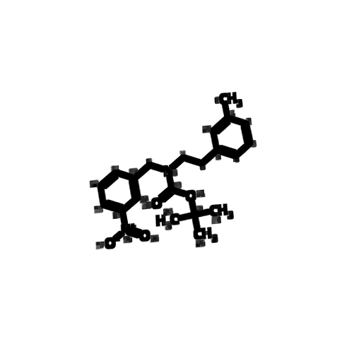 Cc1cccc(CCN(Cc2cccc([N+](=O)[O-])c2)C(=O)OC(C)(C)C)c1